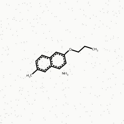 CCCOc1ccc2cc(C)ccc2c1.N